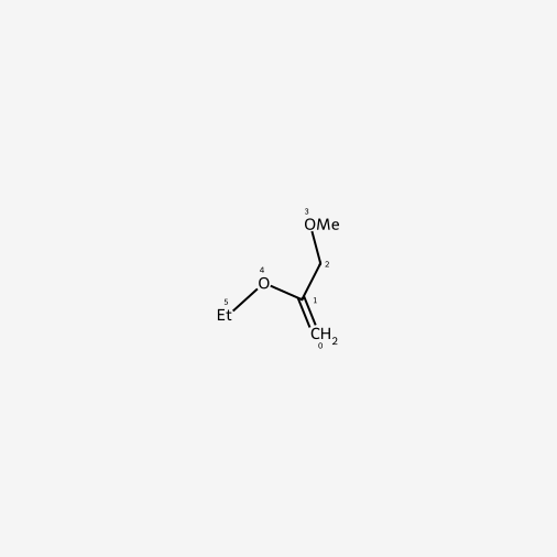 C=C(COC)OCC